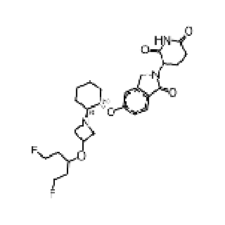 O=C1CCC(N2Cc3cc(O[C@H]4CCCC[C@@H]4N4CC(OC(CCF)CCF)C4)ccc3C2=O)C(=O)N1